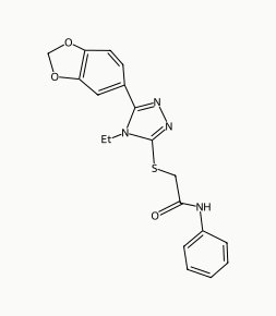 CCn1c(SCC(=O)Nc2ccccc2)nnc1-c1ccc2c(c1)OCO2